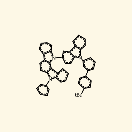 CC(C)(C)c1ccc(-c2cccc(-n3c4ccccc4c4cc(-n5c6ccccc6c6ccc7c(c8ccccc8n7-c7ccccc7)c65)ccc43)c2)cc1